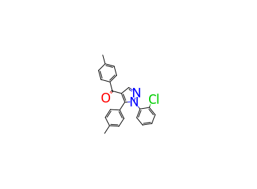 Cc1ccc(C(=O)c2cnn(-c3ccccc3Cl)c2-c2ccc(C)cc2)cc1